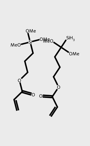 C=CC(=O)OCCCC([SiH3])(OC)OC.C=CC(=O)OCCC[Si](OC)(OC)OC